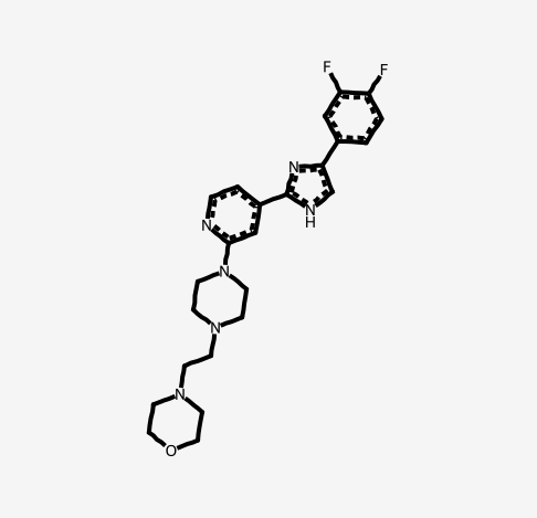 Fc1ccc(-c2c[nH]c(-c3ccnc(N4CCN(CCN5CCOCC5)CC4)c3)n2)cc1F